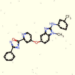 Cn1c(Nc2cccc(C(F)(F)F)c2)nc2cc(Oc3ccnc(-c4nc(-c5ccccc5)no4)c3)ccc21